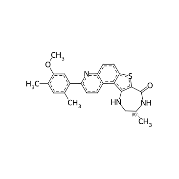 COc1cc(-c2ccc3c(ccc4sc5c(c43)NC[C@@H](C)NC5=O)n2)c(C)cc1C